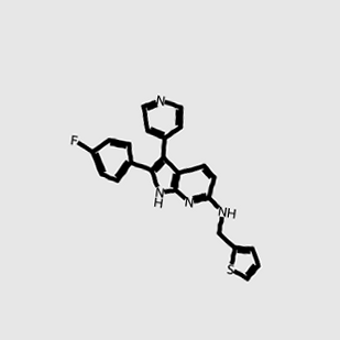 Fc1ccc(-c2[nH]c3nc(NCc4cccs4)ccc3c2-c2ccncc2)cc1